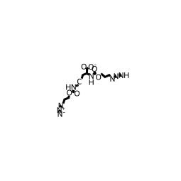 [N-]=[N+]=NCCCOC(=O)NCCCCC(NC(=O)OCCCN=[N+]=N)C(=O)[O-]